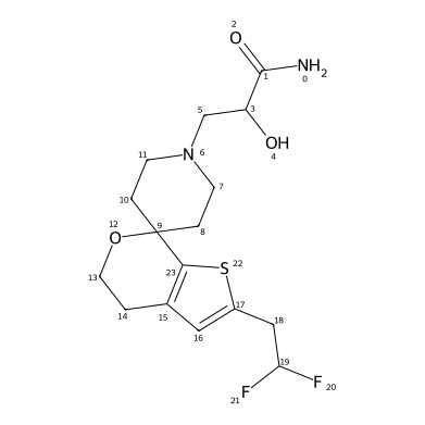 NC(=O)C(O)CN1CCC2(CC1)OCCc1cc(CC(F)F)sc12